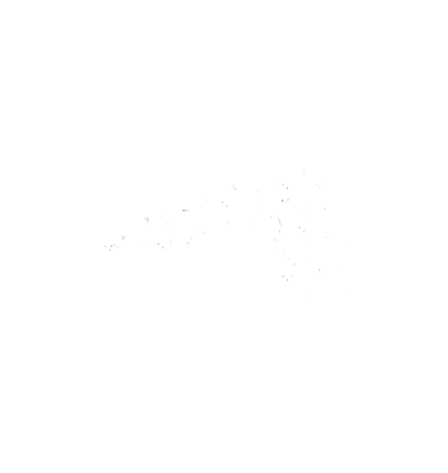 Cc1c(CN2CCC(c3cn(C4CC=C(F)C=C4C(=O)N(C)C)c4cncnc34)CC2)ccc2[nH]c(C#N)cc12